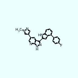 Cn1cc(-c2cnc3[nH]nc(-c4cc5c(-c6ccc(F)cc6)cccc5[nH]4)c3c2)cn1